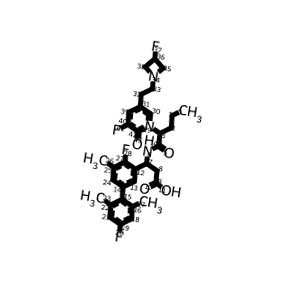 CCCC(C(=O)NC(CC(=O)O)c1cc(-c2c(C)cc(F)cc2C)cc(C)c1F)n1cc(CCN2CC(F)C2)cc(F)c1=O